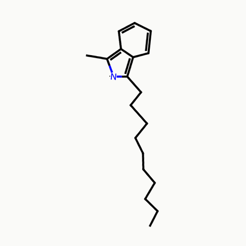 CCCCCCCCCCC1=c2ccccc2=C(C)[N]1